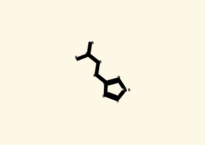 CC(C)CCc1ccsc1